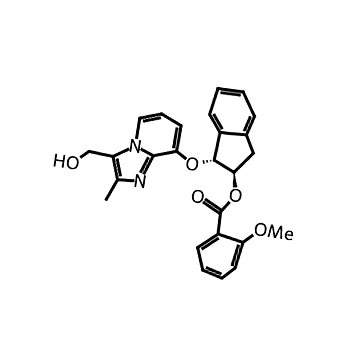 COc1ccccc1C(=O)O[C@@H]1Cc2ccccc2[C@H]1Oc1cccn2c(CO)c(C)nc12